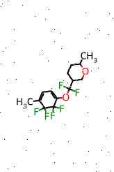 CC1=CC=C(OC(F)(F)C2CCC(C)OC2)C(F)(F)C1(F)F